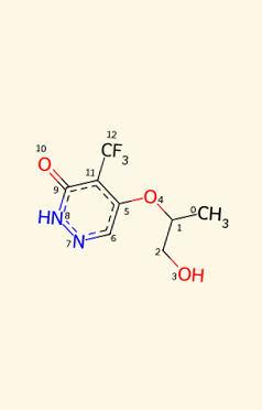 CC(CO)Oc1cn[nH]c(=O)c1C(F)(F)F